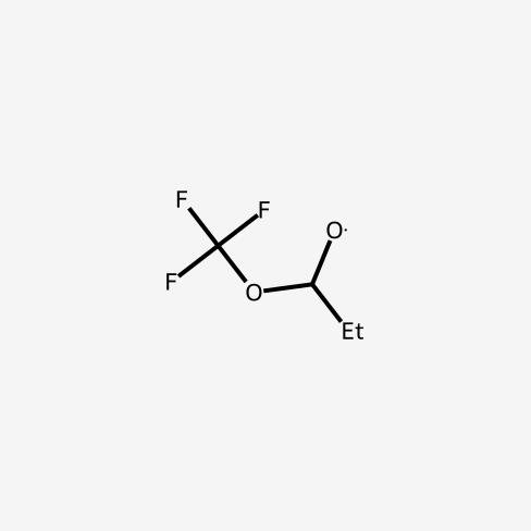 CCC([O])OC(F)(F)F